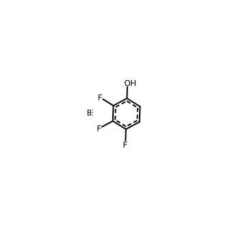 Oc1ccc(F)c(F)c1F.[B]